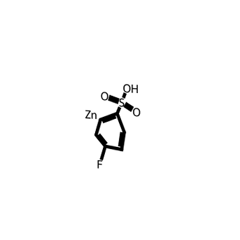 O=S(=O)(O)c1ccc(F)cc1.[Zn]